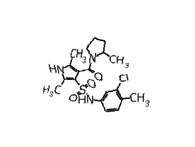 Cc1ccc(NS(=O)(=O)c2c(C)[nH]c(C)c2C(=O)N2CCCC2C)cc1Cl